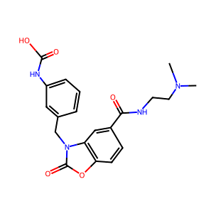 CN(C)CCNC(=O)c1ccc2oc(=O)n(Cc3cccc(NC(=O)O)c3)c2c1